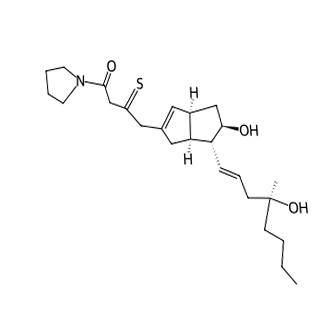 CCCC[C@](C)(O)C/C=C/[C@@H]1[C@H]2CC(CC(=S)CC(=O)N3CCCC3)=C[C@H]2C[C@H]1O